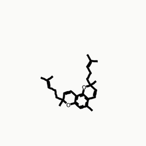 CC(C)=CCCC1(C)C=Cc2c(cc(C)c3c2OC(C)(CCC=C(C)C)C=C3)O1